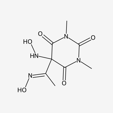 C/C(=N\O)C1(NO)C(=O)N(C)C(=O)N(C)C1=O